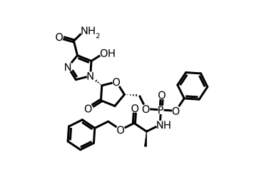 C[C@H](NP(=O)(OC[C@@H]1CC(=O)[C@H](n2cnc(C(N)=O)c2O)O1)Oc1ccccc1)C(=O)OCc1ccccc1